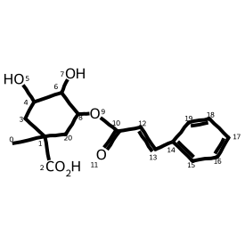 CC1(C(=O)O)CC(O)C(O)C(OC(=O)/C=C/c2ccccc2)C1